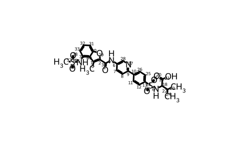 Cc1c(C(=O)Nc2ccc(-c3ccc(S(=O)(=O)NC(C(=O)O)C(C)C)cc3)nc2)oc2cccc(NS(C)(=O)=O)c12